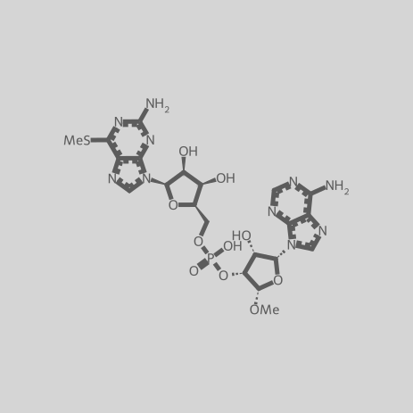 CO[C@H]1O[C@@H](n2cnc3c(N)ncnc32)[C@@H](O)[C@H]1OP(=O)(O)OC[C@H]1O[C@@H](n2cnc3c(SC)nc(N)nc32)[C@@H](O)[C@H]1O